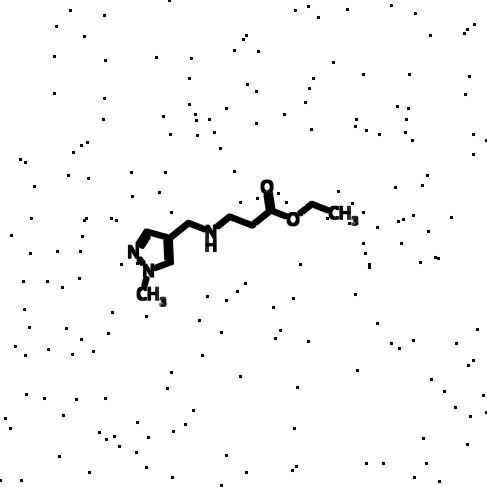 CCOC(=O)CCNCc1cnn(C)c1